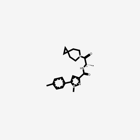 Cc1ccc(-c2cc(C(=O)N[C@@H](C)C(=O)N3CCC4(CC3)CC4)nn2C)cc1